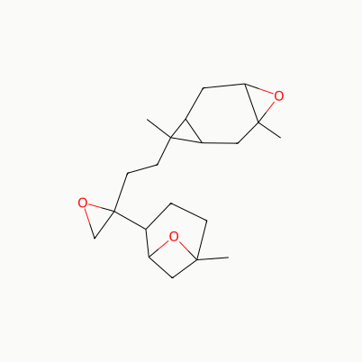 CC12CCC(C3(CCC4(C)C5CC6OC6(C)CC54)CO3)C(C1)O2